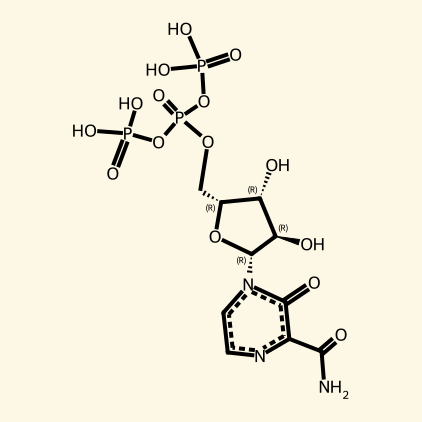 NC(=O)c1nccn([C@@H]2O[C@H](COP(=O)(OP(=O)(O)O)OP(=O)(O)O)[C@H](O)[C@H]2O)c1=O